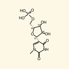 Cn1cc([C@@H]2O[C@H](COP(=O)(O)O)[C@@H](O)[C@H]2O)c(=O)[nH]c1=O